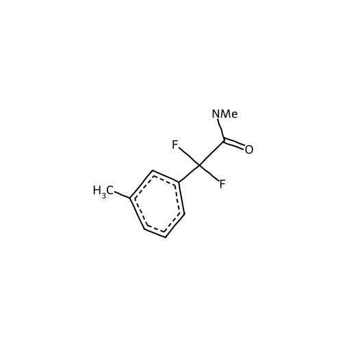 CNC(=O)C(F)(F)c1cccc(C)c1